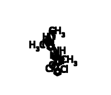 CN1CCN2c3cc(Nc4ncc5c(=O)c(-c6c(Cl)cccc6Cl)cn(C)c5n4)ccc3N(C)C[C@@H]2C1